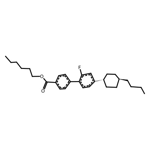 CCCCCCOC(=O)c1ccc(-c2ccc([C@H]3CC[C@H](CCCC)CC3)cc2F)cc1